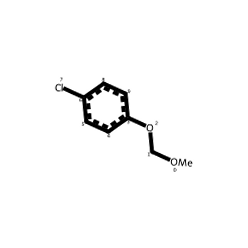 COCOc1ccc(Cl)cc1